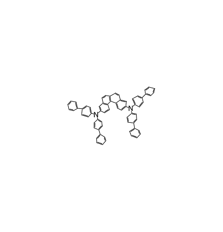 c1ccc(-c2ccc(N(c3ccc(-c4ccccc4)cc3)c3ccc4c(ccc5ccc6cc(N(c7ccc(-c8ccccc8)cc7)c7ccc(-c8ccccc8)cc7)ccc6c54)c3)cc2)cc1